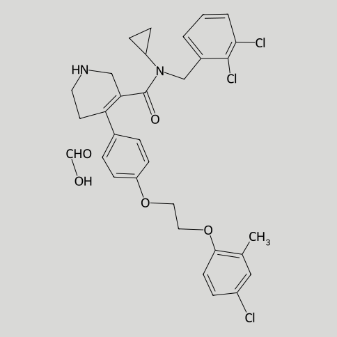 Cc1cc(Cl)ccc1OCCOc1ccc(C2=C(C(=O)N(Cc3cccc(Cl)c3Cl)C3CC3)CNCC2)cc1.O=CO